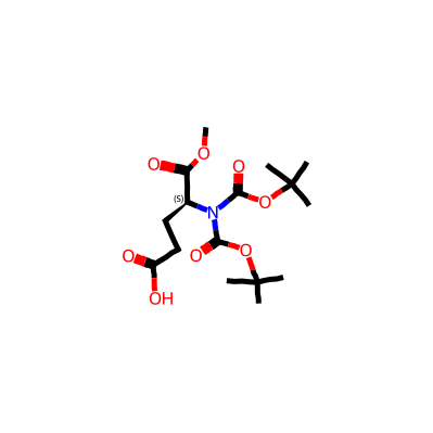 COC(=O)[C@H](CCC(=O)O)N(C(=O)OC(C)(C)C)C(=O)OC(C)(C)C